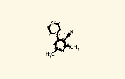 Cc1cc(N2CCSCC2)c(C#N)c(C)n1